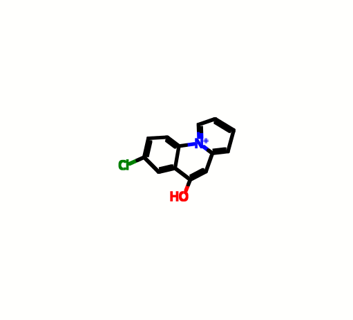 Oc1cc2cccc[n+]2c2ccc(Cl)cc12